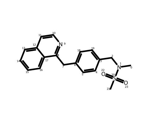 CN(Cc1ccc(Cc2nccc3ccccc23)cc1)S(C)(=O)=O